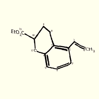 C=Cc1cccc2c1CCC(C(=O)OCC)O2